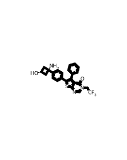 N[C@]1(c2ccc(-c3sc4ncn(CC(F)(F)F)c(=O)c4c3-c3ccccc3)cc2)C[C@H](O)C1